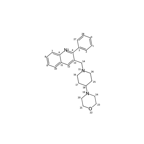 c1ccc(-c2nc3ccccc3cc2CN2CCC(N3CCOCC3)CC2)cc1